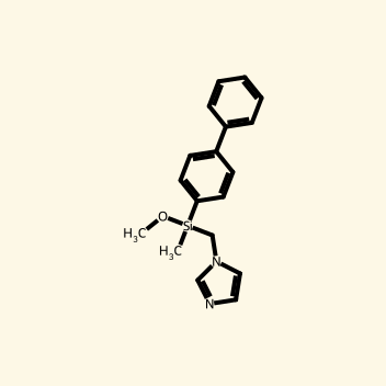 CO[Si](C)(Cn1ccnc1)c1ccc(-c2ccccc2)cc1